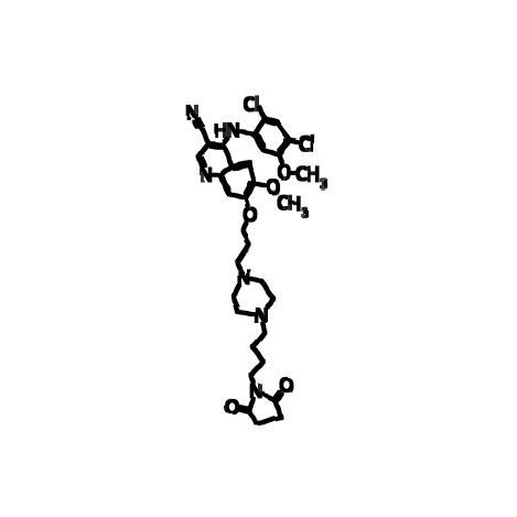 COc1cc(Nc2c(C#N)cnc3cc(OCCCN4CCN(CCCCN5C(=O)CCC5=O)CC4)c(OC)cc23)c(Cl)cc1Cl